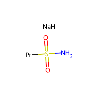 CC(C)S(N)(=O)=O.[NaH]